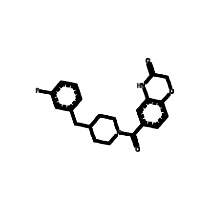 O=C1COc2ccc(C(=O)N3CCC(Cc4cccc(F)c4)CC3)cc2N1